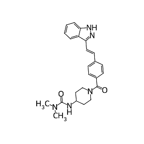 CN(C)C(=O)NC1CCN(C(=O)c2ccc(C=Cc3n[nH]c4ccccc34)cc2)CC1